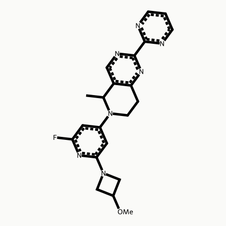 COC1CN(c2cc(N3CCc4nc(-c5ncccn5)ncc4C3C)cc(F)n2)C1